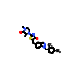 CC1C(=O)N(C)CCN1C1=NC(=O)C(=Cc2ccc3c(cnn3Cc3ccc(C(F)(F)F)cc3C(F)(F)F)c2)S1